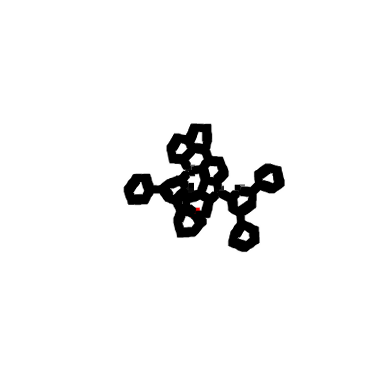 c1ccc(-c2cc(-c3ccccc3)nc(N3c4cccc5cccc(c45)-c4ccc5c(c43)c3ccccc3n5-c3cc(-c4ccccc4)cc(-c4ccccc4)n3)c2)cc1